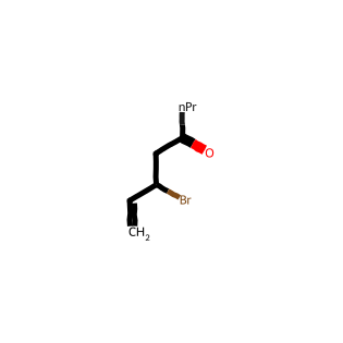 C=CC(Br)CC(=O)CCC